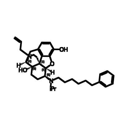 C=CCN1CC[C@]23c4c5ccc(O)c4O[C@H]2[C@@H](N(CCCCCCc2ccccc2)C(C)C)CC[C@@]3(O)[C@H]1C5